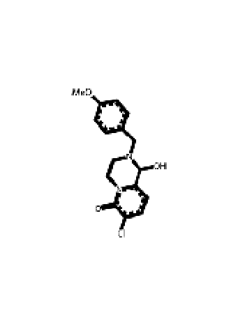 COc1ccc(CN2CCn3c(ccc(Cl)c3=O)C2O)cc1